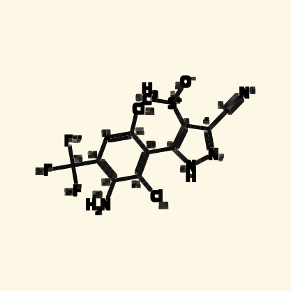 C[S+]([O-])c1c(C#N)n[nH]c1-c1c(Cl)cc(C(F)(F)F)c(N)c1Cl